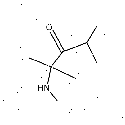 CNC(C)(C)C(=O)C(C)C